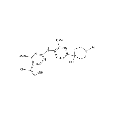 CNc1nc(Nc2ccc([P]3(O)CCN(C(C)=O)CC3)cc2OC)nc2[nH]cc(Cl)c12